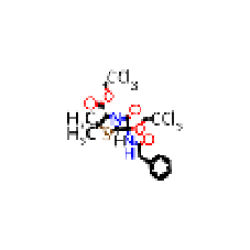 CC1(C)S[C@H]2N(C(=O)C2(NC(=O)Cc2ccccc2)OCC(Cl)(Cl)Cl)[C@H]1C(=O)OCC(Cl)(Cl)Cl